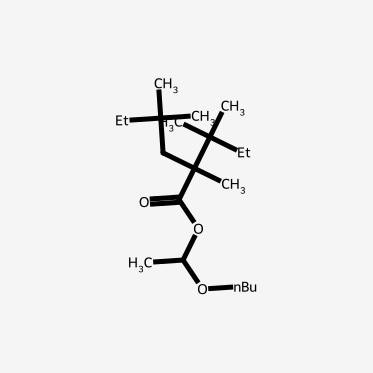 CCCCOC(C)OC(=O)C(C)(CC(C)(C)CC)C(C)(C)CC